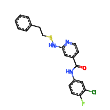 O=C(Nc1ccc(F)c(Cl)c1)c1ccnc(NSCCc2ccccc2)c1